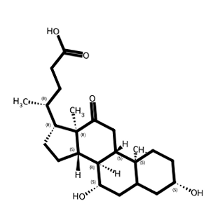 C[C@H](CCC(=O)O)[C@H]1CC[C@H]2[C@@H]3[C@@H](O)CC4C[C@@H](O)CC[C@]4(C)[C@H]3CC(=O)[C@]12C